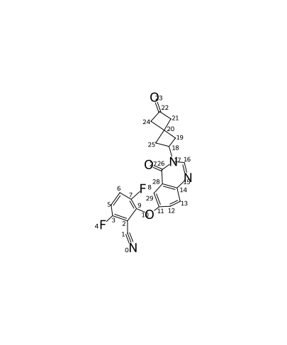 N#Cc1c(F)ccc(F)c1Oc1ccc2ncn(C3CC4(CC(=O)C4)C3)c(=O)c2c1